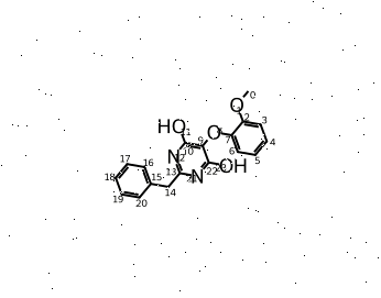 COc1ccccc1Oc1c(O)nc(Cc2ccccc2)nc1O